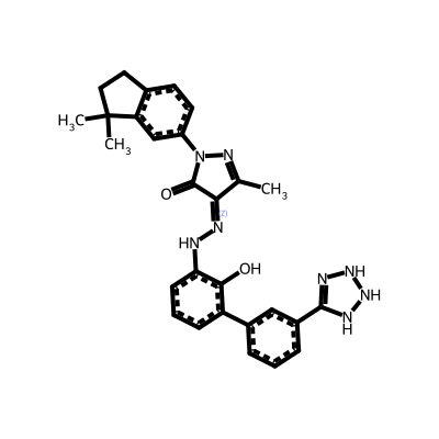 CC1=NN(c2ccc3c(c2)C(C)(C)CC3)C(=O)/C1=N\Nc1cccc(-c2cccc(C3=NNNN3)c2)c1O